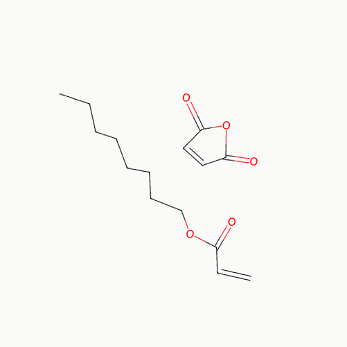 C=CC(=O)OCCCCCCCC.O=C1C=CC(=O)O1